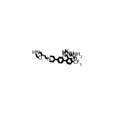 NS(=O)(=O)c1c(C(F)(F)F)ccc(-c2ccc(C3CCN(CC[C@@H]4CNCCO4)CC3)cc2)c1-c1nnn[nH]1